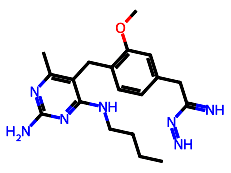 CCCCNc1nc(N)nc(C)c1Cc1ccc(CC(=N)N=N)cc1OC